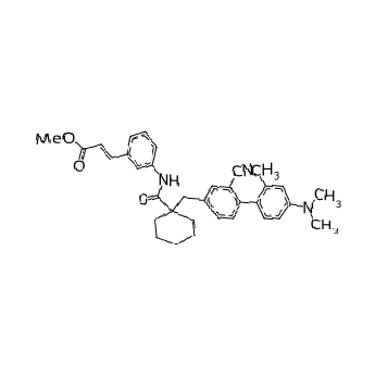 COC(=O)/C=C/c1cccc(NC(=O)C2(Cc3ccc(-c4ccc(N(C)C)cc4C)c(C#N)c3)CCCCC2)c1